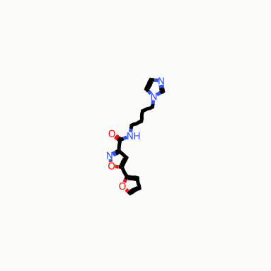 O=C(NCCCCn1ccnc1)c1cc(-c2ccco2)on1